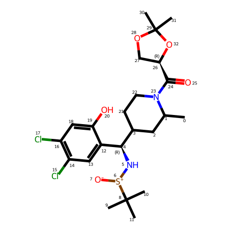 CC1CC([C@@H](N[S+]([O-])C(C)(C)C)c2cc(Cl)c(Cl)cc2O)CCN1C(=O)[C@H]1COC(C)(C)O1